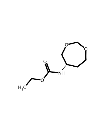 CCOC(=O)N[C@H]1CCOCOC1